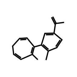 C=C(C)c1ccc(C)c(C2=C(C)C=CCC=C2)c1